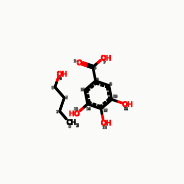 CCCCO.O=C(O)c1cc(O)c(O)c(O)c1